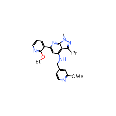 CCOc1ncccc1-c1cc(NCc2ccnc(OC)c2)c2c(C(C)C)nn(C)c2n1